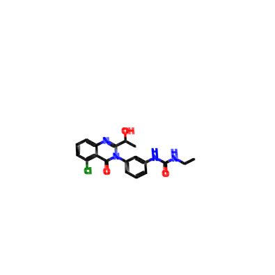 CCNC(=O)Nc1cccc(-n2c(C(C)O)nc3cccc(Cl)c3c2=O)c1